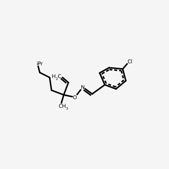 C=CC(C)(CCCC(C)C)ON=Cc1ccc(Cl)cc1